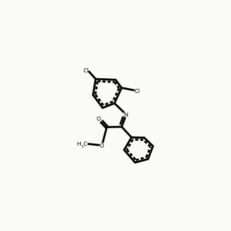 COC(=O)C(=Nc1ccc(Cl)cc1Cl)c1ccccc1